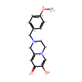 O=c1cc2n(cc1O)CCN(Cc1ccc(OC(F)(F)F)cc1)C2